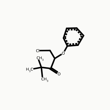 CC(C)(C)C(=O)C(CCl)Oc1ccccc1